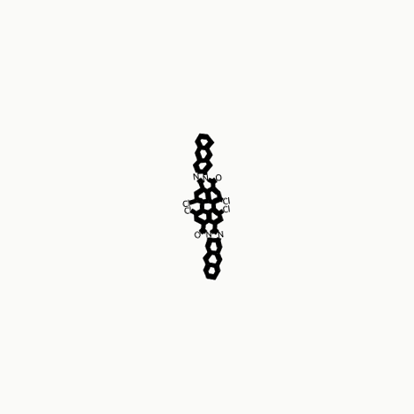 O=c1c2cc(Cl)c3c4c(Cl)cc5c6c(cc(Cl)c(c7c(Cl)cc(c2c37)c2nc3cc7cc8ccccc8cc7cc3n12)c46)c(=O)n1c2cc3cc4ccccc4cc3cc2nc51